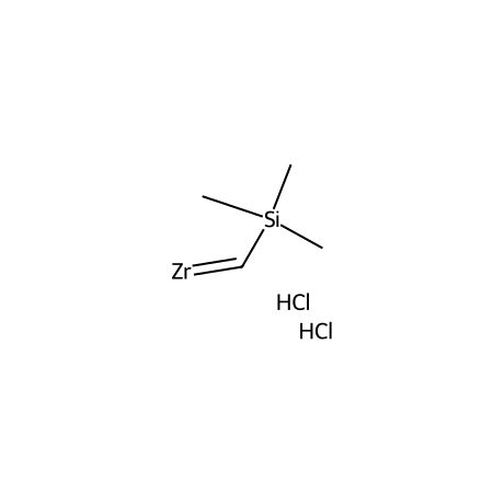 C[Si](C)(C)[CH]=[Zr].Cl.Cl